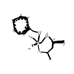 CC1OP(F)(F)(Oc2ccccc2)OC1C